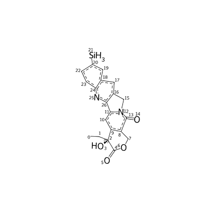 CC[C@@]1(O)C(=O)OCc2c1cc1n(c2=O)Cc2cc3cc([SiH3])ccc3nc2-1